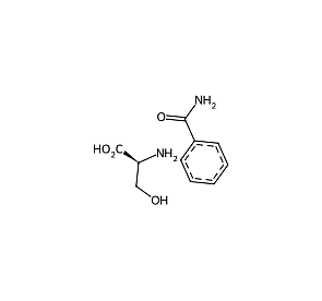 NC(=O)c1ccccc1.N[C@@H](CO)C(=O)O